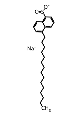 CCCCCCCCCCCCCCCc1cccc2c(S(=O)[O-])cccc12.[Na+]